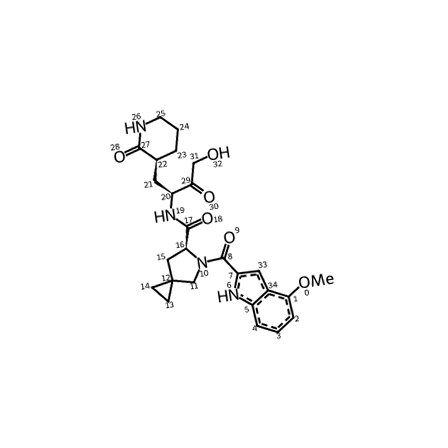 COc1cccc2[nH]c(C(=O)N3CC4(CC4)C[C@H]3C(=O)N[C@@H](C[C@@H]3CCCNC3=O)C(=O)CO)cc12